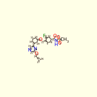 CS(=O)(=O)NC(=O)c1ccc(COc2cccc(-c3cncc(OCC4CC4)n3)c2)c(F)c1